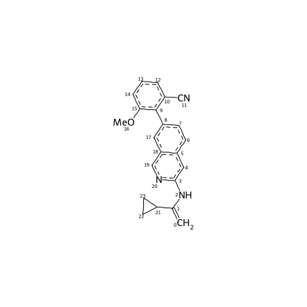 C=C(Nc1cc2ccc(-c3c(C#N)cccc3OC)cc2cn1)C1CC1